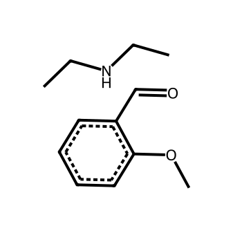 CCNCC.COc1ccccc1C=O